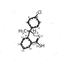 CC(C)(c1ccc(Cl)cc1)c1ccccc1C(=S)S